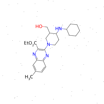 CCOC(=O)c1nc2cc(C)ccc2nc1N1CCC(NC2CCCCC2)C(CO)C1